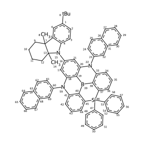 CC(C)(C)c1ccc2c(c1)C1(C)CCCCC1(C)N2c1cc2c3c(c1)N(c1ccc4ccccc4c1)c1cccc4c1B3c1c(cccc1[Si]4(c1ccccc1)c1ccccc1)N2c1ccc2ccccc2c1